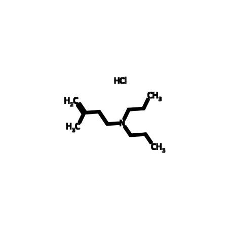 C=C(C)CCN(CCC)CCC.Cl